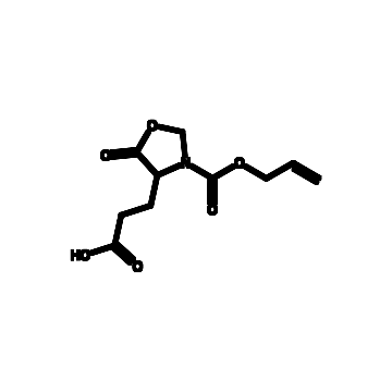 C=CCOC(=O)N1COC(=O)C1CCC(=O)O